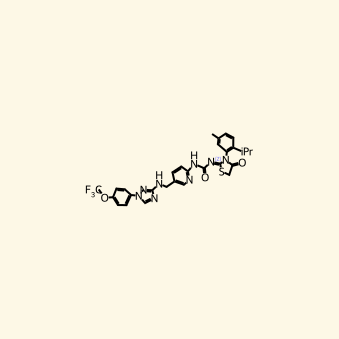 Cc1ccc(C(C)C)c(N2C(=O)CS/C2=N\C(=O)Nc2ccc(CNc3ncn(-c4ccc(OC(F)(F)F)cc4)n3)cn2)c1